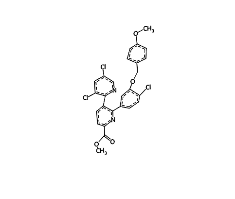 COC(=O)c1ccc(-c2ncc(Cl)cc2Cl)c(-c2ccc(Cl)c(OCc3ccc(OC)cc3)c2)n1